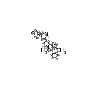 Cc1cnc(-c2cc(-c3cncc(N4CCOCC4)c3)ccn2)n1[C@H](C)c1ccccc1